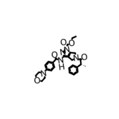 CCOC(=O)n1nc(NC(=O)c2ccc(N3CCOCC3)cc2)c2c1CN(C(=O)[C@H](C)c1ccccc1)C2